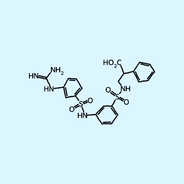 N=C(N)Nc1cccc(S(=O)(=O)Nc2cccc(S(=O)(=O)NCC(C(=O)O)c3ccccc3)c2)c1